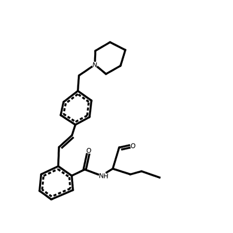 CCCC(C=O)NC(=O)c1ccccc1C=Cc1ccc(CN2CCCCC2)cc1